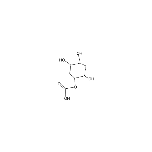 O=C(O)OC1CC(O)C(O)CC1O